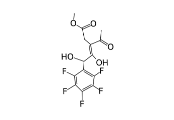 COC(=O)C/C(C(C)=O)=C(/O)C(O)c1c(F)c(F)c(F)c(F)c1F